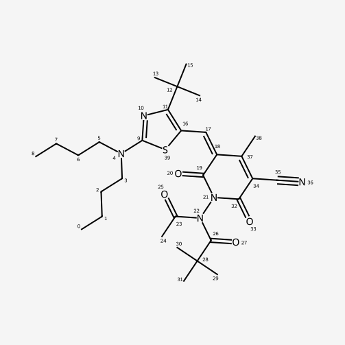 CCCCN(CCCC)c1nc(C(C)(C)C)c(/C=C2\C(=O)N(N(C(C)=O)C(=O)C(C)(C)C)C(=O)C(C#N)=C2C)s1